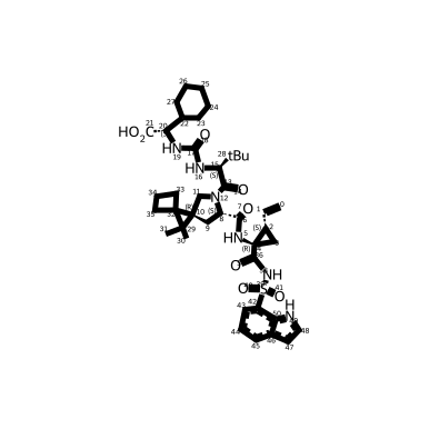 C=C[C@@H]1C[C@]1(NC(=O)[C@@H]1C[C@@]2(CN1C(=O)[C@@H](NC(=O)N[C@H](C(=O)O)C1CCCCC1)C(C)(C)C)C(C)(C)C21CCC1)C(=O)NS(=O)(=O)c1cccc2cc[nH]c12